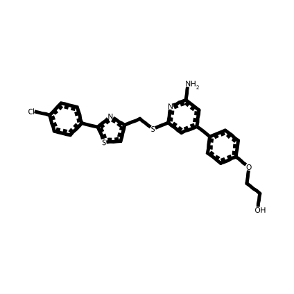 Nc1cc(-c2ccc(OCCO)cc2)cc(SCc2csc(-c3ccc(Cl)cc3)n2)n1